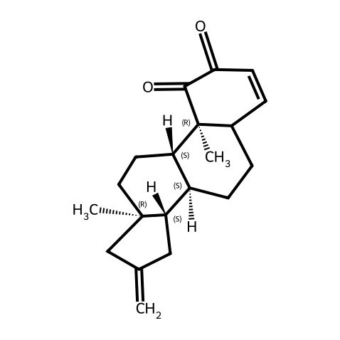 C=C1C[C@H]2[C@@H]3CCC4C=CC(=O)C(=O)[C@]4(C)[C@H]3CC[C@]2(C)C1